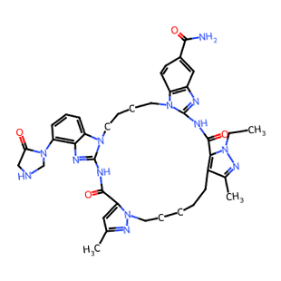 CCn1nc(C)c2c1C(=O)Nc1nc3cc(C(N)=O)ccc3n1CCCCn1c(nc3c(N4CNCC4=O)cccc31)NC(=O)c1cc(C)nn1CCCCC2